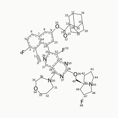 C#Cc1c(F)ccc2cc(OC(=O)C34CC5CC(CC(C5)C3)C4)cc(-c3ncc4c(N5CCCOCC5)nc(OC[C@@]56CCCN5C[C@H](F)C6)nc4c3F)c12